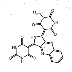 CN1C(=O)NC(=O)/C(=c2/[nH]c(=C3C(=O)NC(=O)NC3=O)c3nc4ccccc4nc23)C1=O